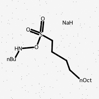 CCCCCCCCCCCCS(=O)(=O)ONCCCC.[NaH]